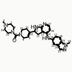 CN1CCN(C(=O)N2CC=C(C3Cc4c(Nc5ccc6c(cnn6C)c5)ccnc4N3)CC2)CC1